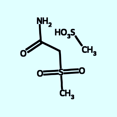 CS(=O)(=O)CC(N)=O.CS(=O)(=O)O